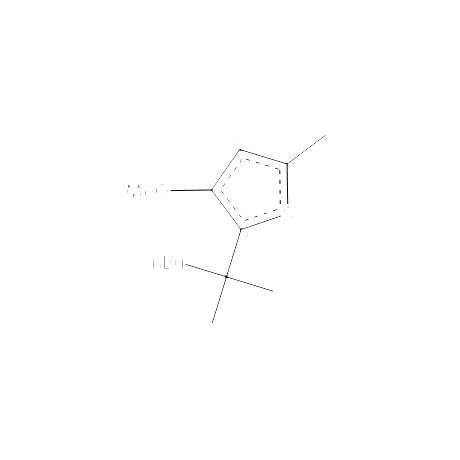 CCCCC(C)(C)c1sc(C)cc1OC